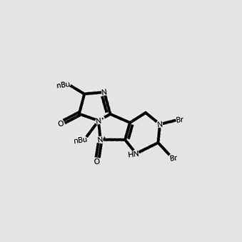 CCCCC1N=C2C3=C(NC(Br)N(Br)C3)[N+](=O)[N+]2(CCCC)C1=O